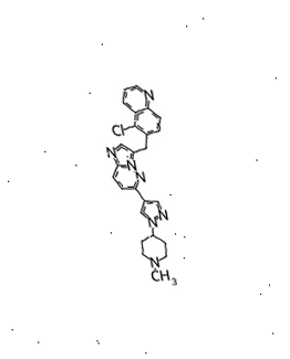 CN1CCC(n2cc(-c3ccc4ncc(Cc5ccc6ncccc6c5Cl)n4n3)cn2)CC1